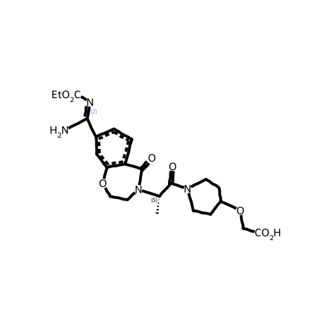 CCOC(=O)/N=C(\N)c1ccc2c(c1)OCCN([C@@H](C)C(=O)N1CCC(OCC(=O)O)CC1)C2=O